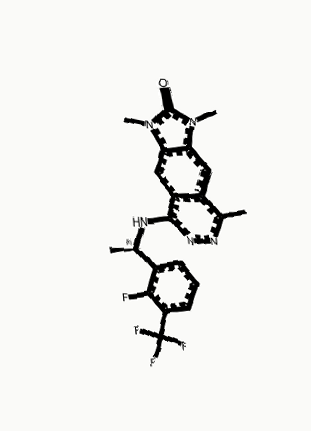 Cc1nnc(N[C@H](C)c2cccc(C(F)(F)F)c2F)c2cc3c(cc12)n(C)c(=O)n3C